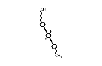 CCCCCCc1ccc(C#Cc2cc(F)c(C#Cc3ccc(CCC)cc3)cc2F)cc1